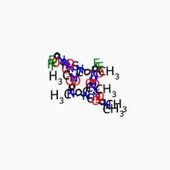 COc1c(N2CCN(S(=O)(=O)N3CCCN(CC4CCCC(CN(C)c5ccc(S(=O)(=O)N6CCCN(CC7CCCCC7)CCCN(S(=O)(=O)N7CCN(c8ccccc8OC(F)(F)F)CC7)C[C@@H](C)C6)cc5)C4)CCCN(S(=O)(=O)c4ccc(N(C)C)cc4)C[C@H](C)C3)CC2)ccc(F)c1F